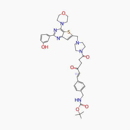 CC(C)(C)OC(=O)NCc1ccc(/C=C/C(=O)CCC(=O)N2CCN(Cc3cc4nc(-c5cccc(O)c5)nc(N5CCOCC5)c4s3)CC2)cc1